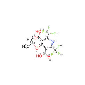 CC(C)Oc1c(C(=O)O)c(C(F)(F)F)nc(C(F)(F)F)c1C(=O)O